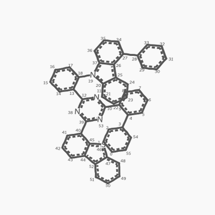 c1ccc(-c2ccccc2-c2nc(-c3ccccc3-n3c4ccccc4c4c(-c5ccccc5)cccc43)nc(-c3cccc4c3sc3ccccc34)n2)cc1